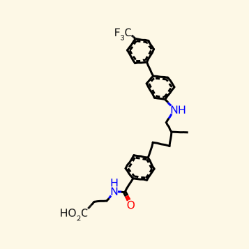 CC(CCc1ccc(C(=O)NCCC(=O)O)cc1)CNc1ccc(-c2ccc(C(F)(F)F)cc2)cc1